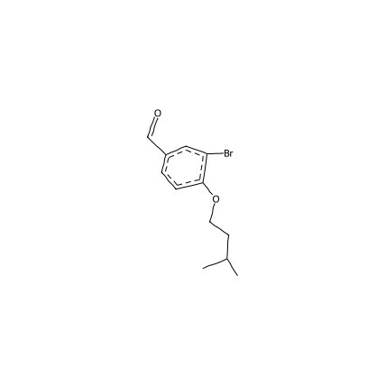 CC(C)CCOc1ccc(C=O)cc1Br